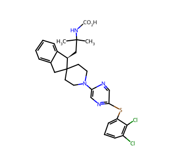 CC(C)(C[C@@H]1c2ccccc2CC12CCN(c1cnc(Sc3cccc(Cl)c3Cl)cn1)CC2)NC(=O)O